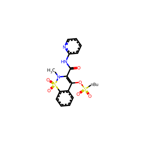 CCCCS(=O)(=O)OC1=C(C(=O)Nc2ccccn2)N(C)S(=O)(=O)c2ccccc21